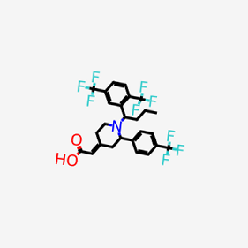 CCCC(c1cc(C(F)(F)F)ccc1C(F)(F)F)N1CCC(=CC(=O)O)CC1c1ccc(C(F)(F)F)cc1